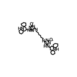 COc1nc(N=CCCCCC=Nc2nc(NC3CC4(CCCCC4)NC4(CCCCC4)C3)nc(OC)n2)nc(NC2CC3(CCCCC3)NC3(CCCCC3)C2)n1